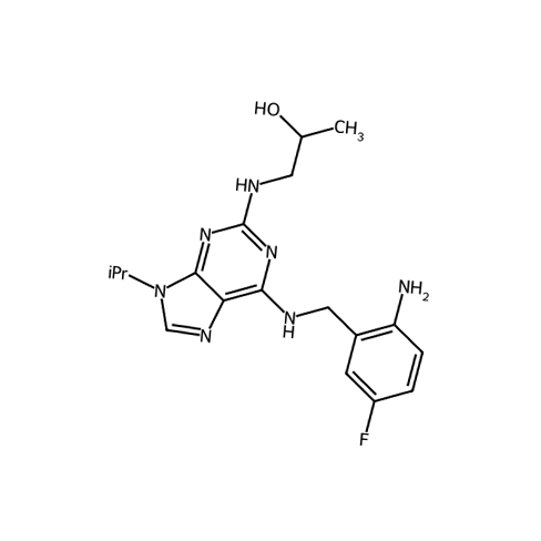 CC(O)CNc1nc(NCc2cc(F)ccc2N)c2ncn(C(C)C)c2n1